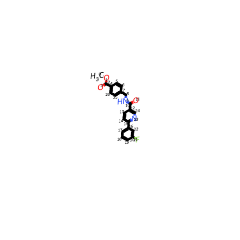 COC(=O)c1ccc(CNC(=O)c2ccc(-c3cccc(F)c3)nc2)cc1